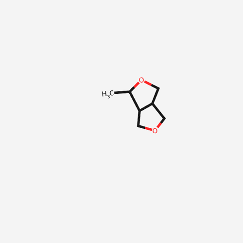 CC1OCC2COCC21